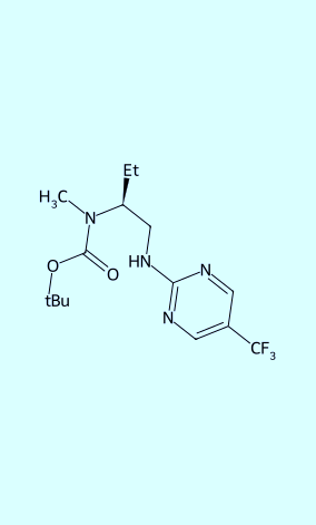 CC[C@@H](CNc1ncc(C(F)(F)F)cn1)N(C)C(=O)OC(C)(C)C